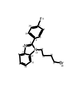 Fc1ccc(-c2nc3ccccc3n2CCCCBr)cc1